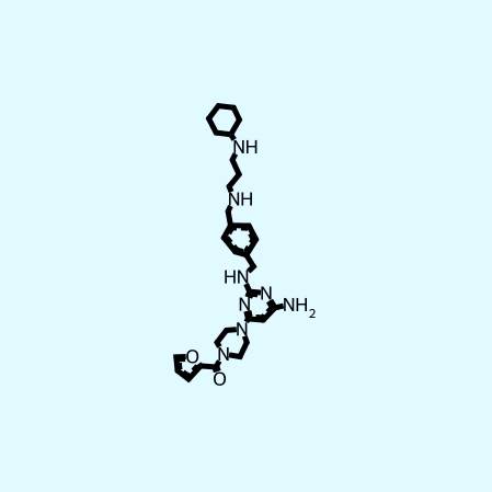 Nc1cc(N2CCN(C(=O)c3ccco3)CC2)nc(NCc2ccc(CNCCCNC3CCCCC3)cc2)n1